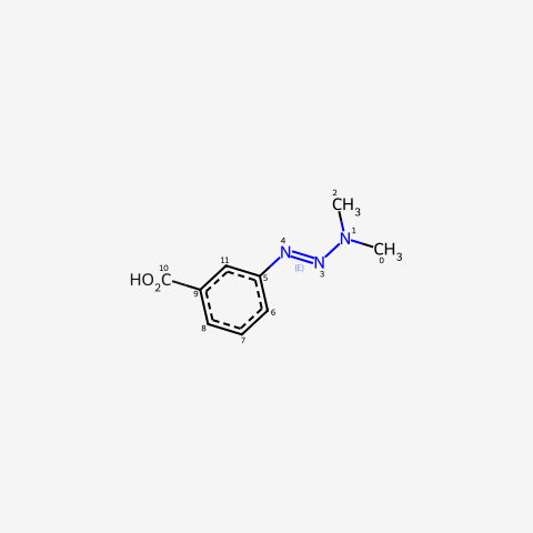 CN(C)/N=N/c1cccc(C(=O)O)c1